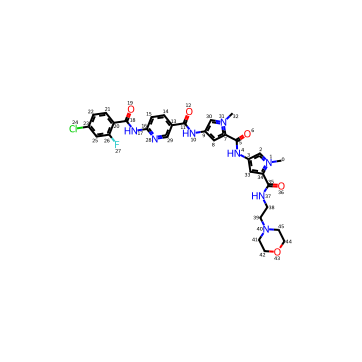 Cn1cc(NC(=O)c2cc(NC(=O)c3ccc(NC(=O)c4ccc(Cl)cc4F)nc3)cn2C)cc1C(=O)NCCN1CCOCC1